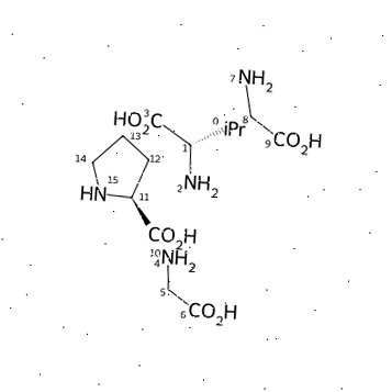 CC(C)[C@H](N)C(=O)O.NCC(=O)O.NCC(=O)O.O=C(O)[C@@H]1CCCN1